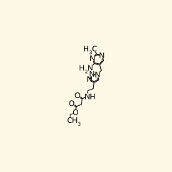 CCOC(=O)CC(=O)NCCc1cn(Cc2cnc(C)nc2N)nn1